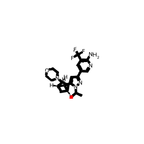 CC(C)n1nc(-c2cnc(N)c(C(F)(F)F)c2)cc1[C@H]1[C@H]2C[C@@H]1[C@@H](N1CCOCC1)C2